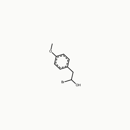 COc1ccc(CC(O)Br)cc1